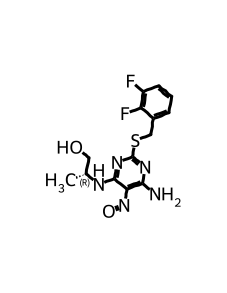 C[C@H](CO)Nc1nc(SCc2cccc(F)c2F)nc(N)c1N=O